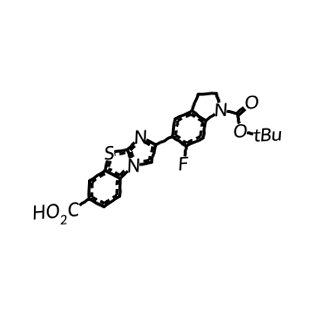 CC(C)(C)OC(=O)N1CCc2cc(-c3cn4c(n3)sc3cc(C(=O)O)ccc34)c(F)cc21